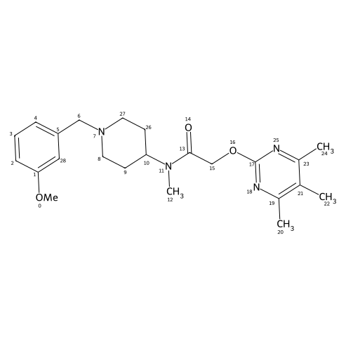 COc1cccc(CN2CCC(N(C)C(=O)COc3nc(C)c(C)c(C)n3)CC2)c1